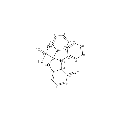 O=P(O)(O)C1(c2ccccc2)OC2=CC=CC(=S)C2N1c1ccccc1